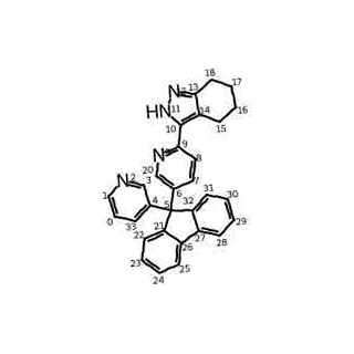 c1cncc(C2(c3ccc(-c4[nH]nc5c4CCCC5)nc3)c3ccccc3-c3ccccc32)c1